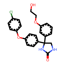 O=C1NCC(c2ccc(Oc3ccc(Cl)cc3)cc2)(c2cccc(OCCO)c2)N1